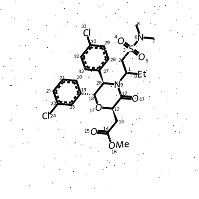 CCC(CS(=O)(=O)N(C)C)N1C(=O)[C@@H](CC(=O)OC)O[C@H](c2cccc(Cl)c2)[C@H]1c1ccc(Cl)cc1